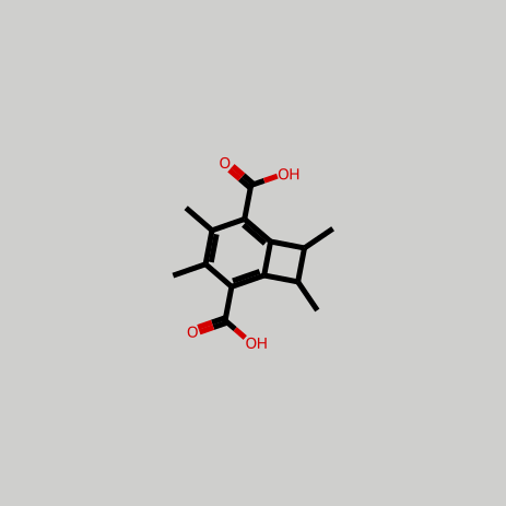 Cc1c(C)c(C(=O)O)c2c(c1C(=O)O)C(C)C2C